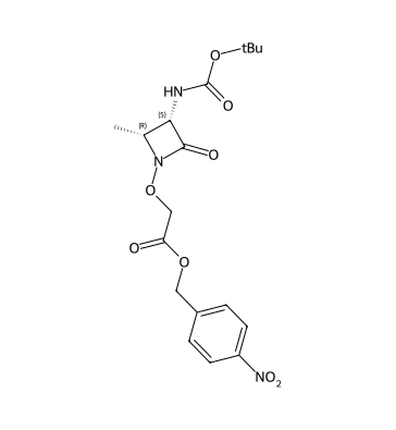 C[C@@H]1[C@H](NC(=O)OC(C)(C)C)C(=O)N1OCC(=O)OCc1ccc([N+](=O)[O-])cc1